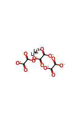 O=C([O-])C(=O)[O-].O=C([O-])C(=O)[O-].O=C([O-])C(=O)[O-].[Li+3].[Li+3]